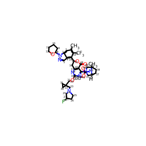 Cc1cc2c(cnn2C2CCCCO2)c(C2Cc3nc(OCC4(CN5CC[C@@H](F)C5)CC4)nc(N4C[C@H]5CC[C@@](C)(C4)N5C(=O)OC(C)(C)C)c3C(=O)O2)c1C(F)(F)F